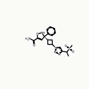 CC(c1cn(C2CC([C@@]3(c4ccccc4)C=C(C(N)=O)ON3)C2)nn1)S(C)(=O)=O